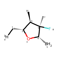 [3H]C[C@H]1O[C@@H](B)[C@](C)(F)[C@@H]1C